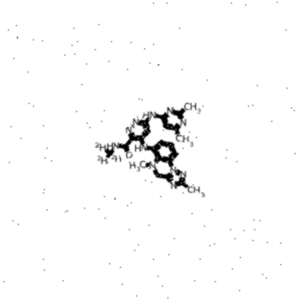 [2H]C([2H])([2H])NC(=O)c1nnc(Nc2cc(C)nc(C)n2)cc1Nc1cccc2c1N(C)Cc1nc(C)nn1-2